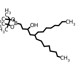 CCCCCCCCC(CCCCCCCC)CC(O)CCB1OC(C)(C)C(C)(C)O1